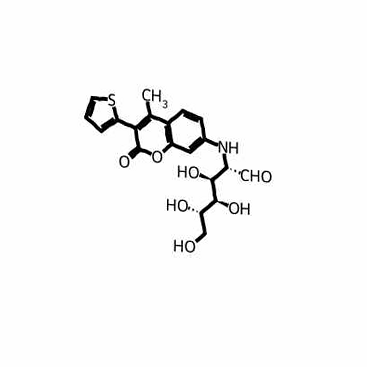 Cc1c(-c2cccs2)c(=O)oc2cc(N[C@H](C=O)[C@H](O)[C@@H](O)[C@@H](O)CO)ccc12